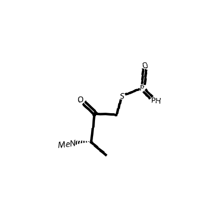 CN[C@@H](C)C(=O)CSP(=O)=P